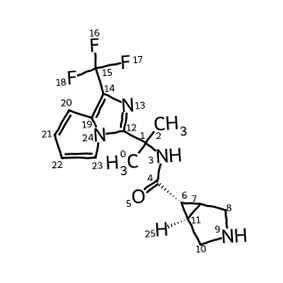 CC(C)(NC(=O)[C@@H]1C2CNC[C@H]21)c1nc(C(F)(F)F)c2ccccn12